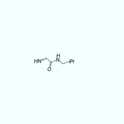 CC(C)CNC(=O)C=N